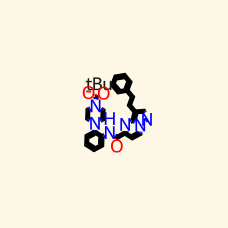 CC(C)(C)OC(=O)N1CCN(c2ccccc2NC(=O)c2ccn3ncc(CCc4ccccc4)c3n2)CC1